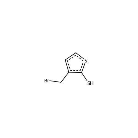 Sc1sccc1CBr